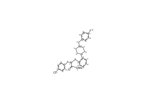 COC(=O)N(Cc1ccc(Cl)cc1)Cc1ccccc1C1CCN(Cc2ccc(F)cc2)CC1